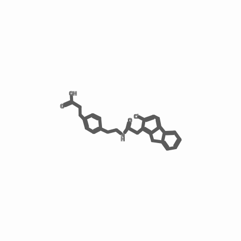 O=C(O)CCc1ccc(CCNC(=O)Cc2c(Cl)ccc3c2Cc2ccccc2-3)cc1